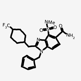 CNS(=O)(=O)c1c(C(N)=O)ccc2c1nc(CC1CCC(C(F)(F)F)CC1)n2Cc1ccccc1